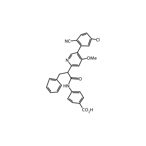 COc1cc(C(Cc2ccccc2)C(=O)Nc2ccc(C(=O)O)cc2)ncc1-c1cc(Cl)ccc1C#N